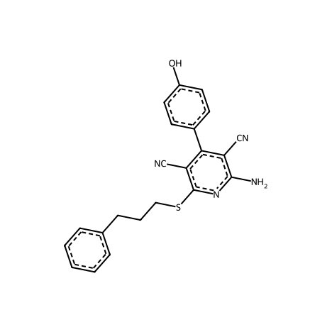 N#Cc1c(N)nc(SCCCc2ccccc2)c(C#N)c1-c1ccc(O)cc1